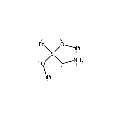 CC[Si](CN)(OC(C)C)OC(C)C